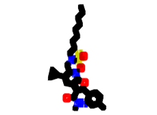 CCCCCCCCCN(Cc1nc2oc(-c3ccc(C)cc3)c(C(=O)NC)c2cc1C1CC1)[SH](=O)=O